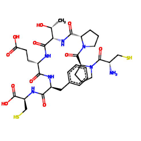 C[C@@H](O)[C@H](NC(=O)[C@@H]1CCCN1C(=O)[C@@H]1CCCN1C(=O)[C@@H](N)CS)C(=O)N[C@@H](CCC(=O)O)C(=O)N[C@@H](Cc1ccccc1)C(=O)N[C@@H](CS)C(=O)O